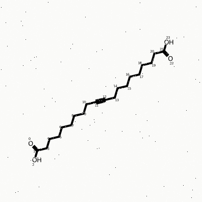 O=C(O)CCCCCCCCC#CCCCCCCCCC(=O)O